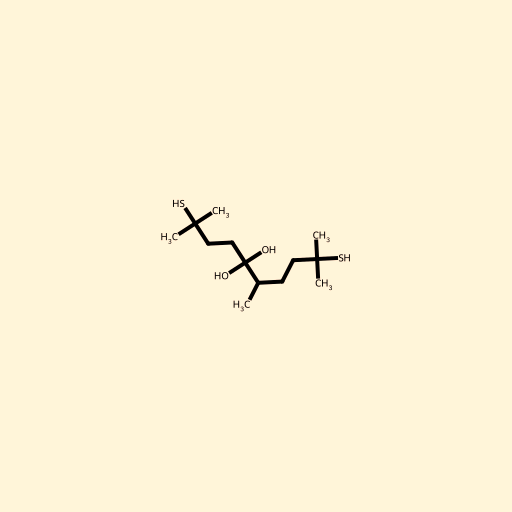 CC(CCC(C)(C)S)C(O)(O)CCC(C)(C)S